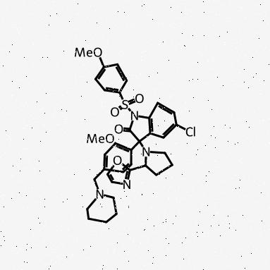 COc1ccc(S(=O)(=O)N2C(=O)C(c3ccc(CN4CCCCC4)cc3OC)(N3CCCC3c3ncco3)c3cc(Cl)ccc32)cc1